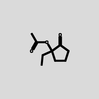 CCC1(OC(C)=O)CCCC1=O